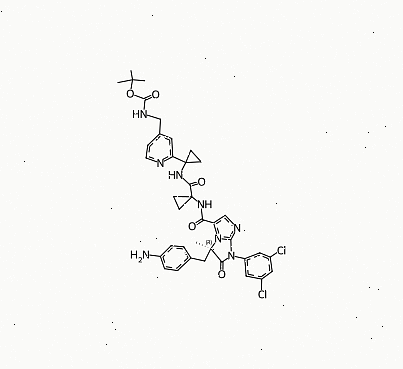 CC(C)(C)OC(=O)NCc1ccnc(C2(NC(=O)C3(NC(=O)c4cnc5n4[C@](C)(Cc4ccc(N)cc4)C(=O)N5c4cc(Cl)cc(Cl)c4)CC3)CC2)c1